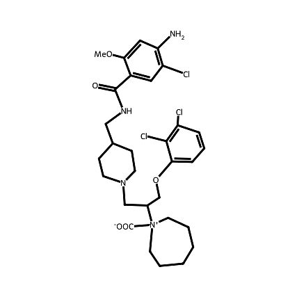 COc1cc(N)c(Cl)cc1C(=O)NCC1CCN(CC(COc2cccc(Cl)c2Cl)[N+]2(C(=O)[O-])CCCCCC2)CC1